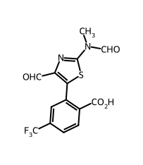 CN(C=O)c1nc(C=O)c(-c2cc(C(F)(F)F)ccc2C(=O)O)s1